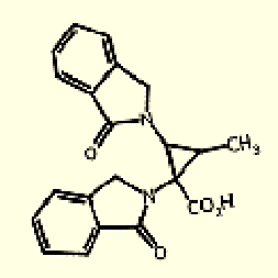 CC1C(N2Cc3ccccc3C2=O)C1(C(=O)O)N1Cc2ccccc2C1=O